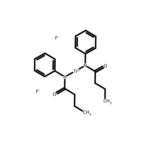 CCCC(=O)[N]([Ti+2][N](C(=O)CCC)c1ccccc1)c1ccccc1.[F-].[F-]